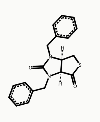 O=C1SC[C@H]2[C@@H]1N(Cc1ccccc1)C(=O)N2Cc1ccccc1